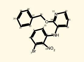 O=[N+]([O-])c1c(Br)cccc1Nc1cccnc1OCc1ccccc1